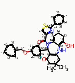 CC1(C)CC(=O)C2=C(C1)NC1=C(O)CCC=C1N(C(=O)c1csc(-c3ccccc3)n1)C2c1ccc(OCc2ccccc2)cc1F